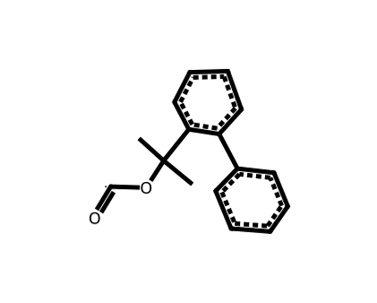 CC(C)(O[C]=O)c1ccccc1-c1ccccc1